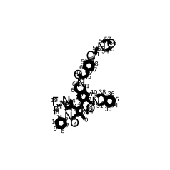 Cc1c(C(=O)Nc2ccccc2)c(-c2cnn(C(F)F)c2)c(-c2cc3c(cc2C(=O)N2Cc4ccccc4C[C@H]2C)CN(C(=O)Cc2ccc(OCCN4CCOCC4)cc2)CC3)n1C